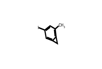 Cc1cc(I)cc2c1C2